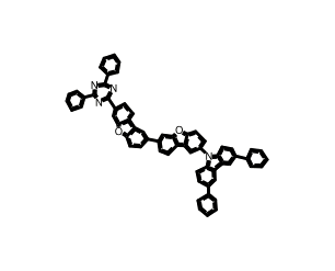 c1ccc(-c2ccc3c(c2)c2cc(-c4ccccc4)ccc2n3-c2ccc3oc4cc(-c5ccc6oc7cc(-c8nc(-c9ccccc9)nc(-c9ccccc9)n8)ccc7c6c5)ccc4c3c2)cc1